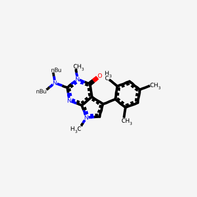 CCCCN(CCCC)c1nc2c(c(-c3c(C)cc(C)cc3C)cn2C)c(=O)n1C